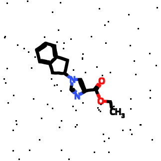 CCOC(=O)c1cn(C2Cc3ccccc3C2)cn1